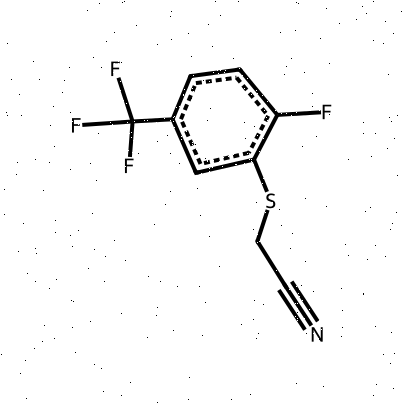 N#CCSc1cc(C(F)(F)F)ccc1F